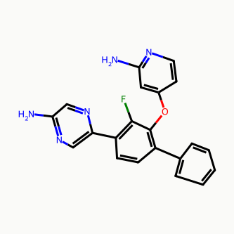 Nc1cnc(-c2ccc(-c3ccccc3)c(Oc3ccnc(N)c3)c2F)cn1